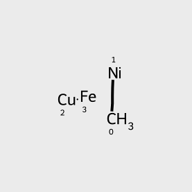 [CH3][Ni].[Cu].[Fe]